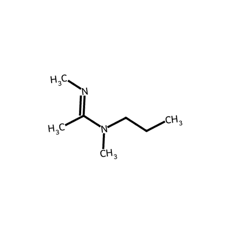 CCCN(C)/C(C)=N/C